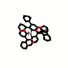 c1ccc(-c2cc3c(c(N(c4ccccc4-c4cccc5ccccc45)c4ccccc4-c4cccc5sc6ccccc6c45)c2-c2ccccc2)Cc2ccccc2-3)cc1